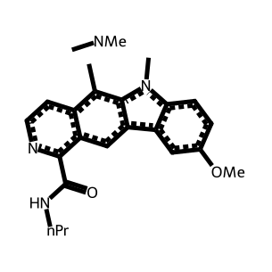 CCCNC(=O)c1nccc2c(C)c3c(cc12)c1cc(OC)ccc1n3C.CNC